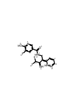 N=C(/C(CNC(=O)c1cnc(O)c(F)c1)=C1/C=CC=NN1)C(F)F